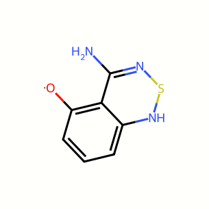 NC1=NSNc2cccc([O])c21